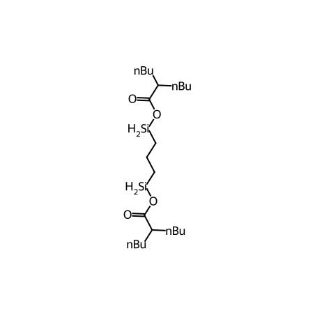 CCCCC(CCCC)C(=O)O[SiH2]CCC[SiH2]OC(=O)C(CCCC)CCCC